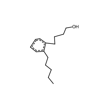 CCCCCc1ccccc1CCCCO